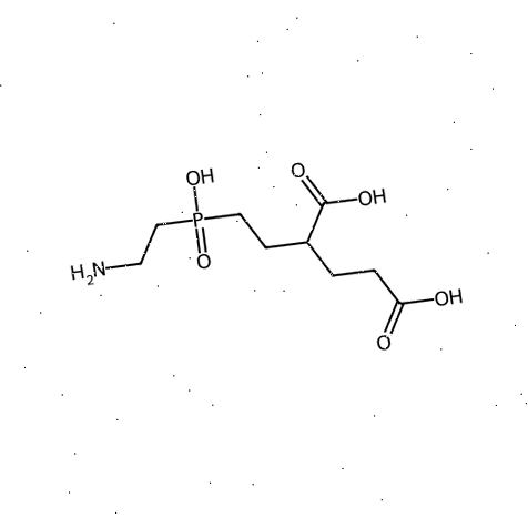 NCCP(=O)(O)CCC(CCC(=O)O)C(=O)O